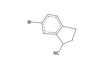 N#CC1CCc2ccc(Br)cc21